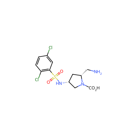 NC[C@H]1C[C@@H](NS(=O)(=O)c2cc(Cl)ccc2Cl)CN1C(=O)O